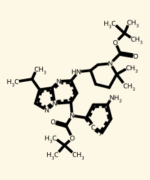 CC(C)c1cnn2c(N(C(=O)OC(C)(C)C)c3cccc(N)c3)cc(NC3CCC(C)(C)N(C(=O)OC(C)(C)C)C3)nc12